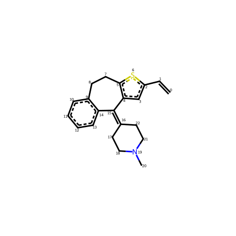 C=Cc1cc2c(s1)CCc1ccccc1C2=C1CCN(C)CC1